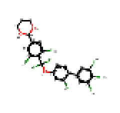 Fc1cc(OC(F)(F)c2c(F)cc(C3OCCCO3)cc2F)ccc1-c1cc(F)c(F)c(F)c1